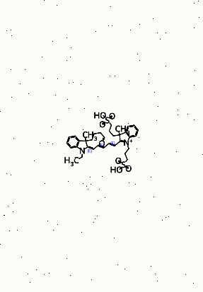 CCN1/C(=C/C=C/C=C/C2=[N+](CCCS(=O)(=O)O)c3ccccc3C2(C)CCCS(=O)(=O)O)C(C)(CCCC=O)c2ccccc21